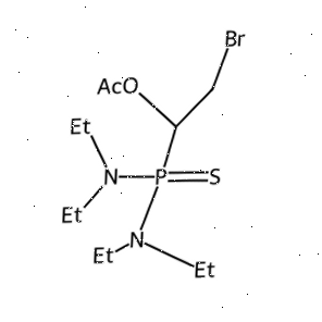 CCN(CC)P(=S)(C(CBr)OC(C)=O)N(CC)CC